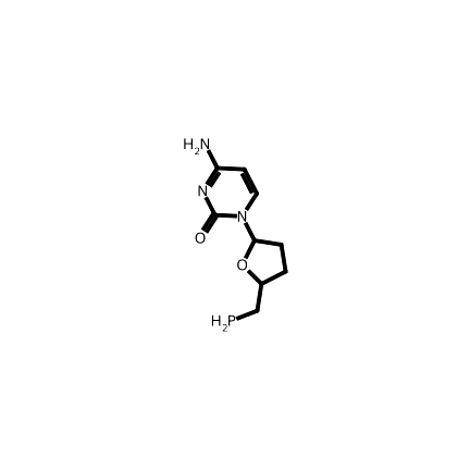 Nc1ccn(C2CCC(CP)O2)c(=O)n1